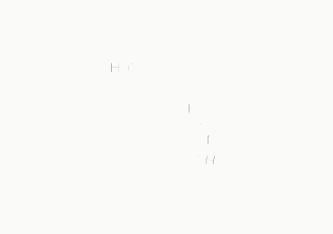 C=C[C](CCCCC)C(F)(F)F